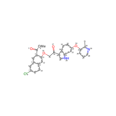 COC(=O)c1cc2cc(Cl)ccc2cc1OCC(=O)c1c[nH]c2cc(Oc3cccnc3C)ccc12